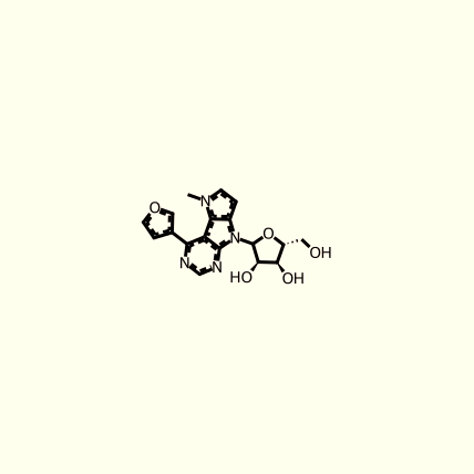 Cn1ccc2c1c1c(-c3ccoc3)ncnc1n2C1O[C@H](CO)[C@@H](O)[C@H]1O